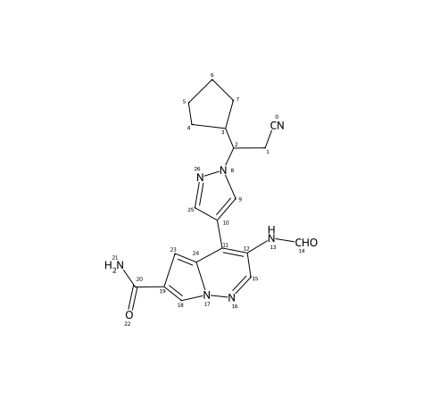 N#CCC(C1CCCC1)n1cc(-c2c(NC=O)cnn3cc(C(N)=O)cc23)cn1